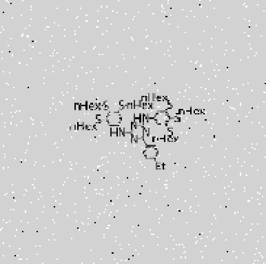 [CH2]Cc1ccc(-c2nc(Nc3cc(SCCCCCC)c(SCCCCCC)c(SCCCCCC)c3)nc(Nc3cc(SCCCCCC)c(SCCCCCC)c(SCCCCCC)c3)n2)cc1